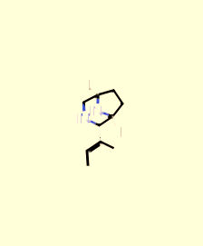 C/C=C(\C)[C@@H]1NC[C@H]2CC[C@@H]1N2